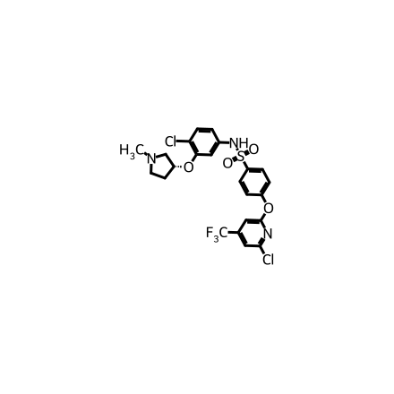 CN1CC[C@@H](Oc2cc(NS(=O)(=O)c3ccc(Oc4cc(C(F)(F)F)cc(Cl)n4)cc3)ccc2Cl)C1